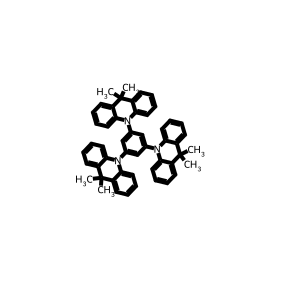 CC1(C)c2ccccc2N(c2cc(N3c4ccccc4C(C)(C)c4ccccc43)cc(N3c4ccccc4C(C)(C)c4ccccc43)c2)c2ccccc21